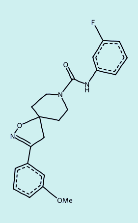 COc1cccc(C2=NOC3(CCN(C(=O)Nc4cccc(F)c4)CC3)C2)c1